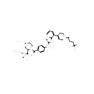 CN1CCN(C(=O)c2ccc(Nc3nc4c(C5=CCN(C(=O)CCC(F)(F)F)CC5)cccn4n3)cc2)C(C(=O)N(C)C)C1